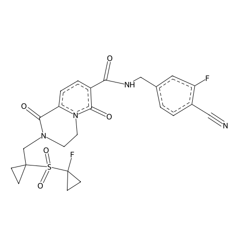 N#Cc1ccc(CNC(=O)c2ccc3n(c2=O)CCN(CC2(S(=O)(=O)C4(F)CC4)CC2)C3=O)cc1F